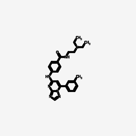 CCN(CC)CCNC(=O)c1ccc(Nc2cc(-c3cccc(C)c3)n3ncnc3n2)cc1